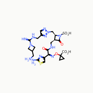 N=C(NCc1cnn(C[C@@H]2[C@H](CNC(=O)/C(=N\OC3(C(=O)O)CC3)c3csc(N)n3)C(=O)N2S(=O)(=O)O)n1)N1CC(CN)C1